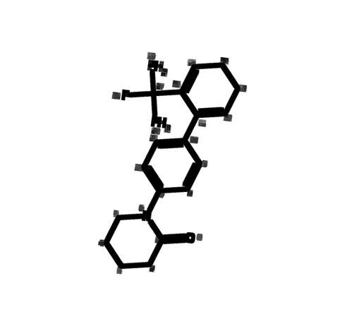 O=C1CCCCN1c1ccc(C2=CCCC=C2C(F)(P)P)cc1